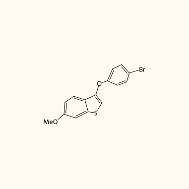 COc1ccc2c(Oc3ccc(Br)cc3)[c]sc2c1